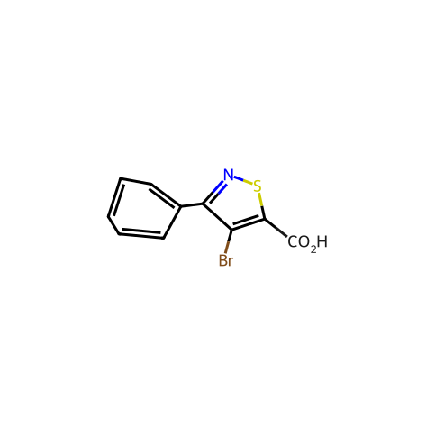 O=C(O)c1snc(-c2ccccc2)c1Br